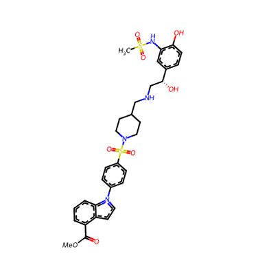 COC(=O)c1cccc2c1ccn2-c1ccc(S(=O)(=O)N2CCC(CNC[C@@H](O)c3ccc(O)c(NS(C)(=O)=O)c3)CC2)cc1